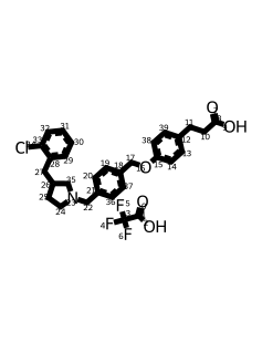 O=C(O)C(F)(F)F.O=C(O)CCc1ccc(OCc2ccc(CN3CCC(Cc4ccccc4Cl)C3)cc2)cc1